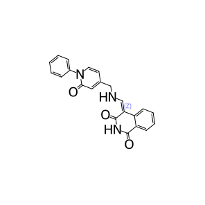 O=C1NC(=O)c2ccccc2/C1=C/NCc1ccn(-c2ccccc2)c(=O)c1